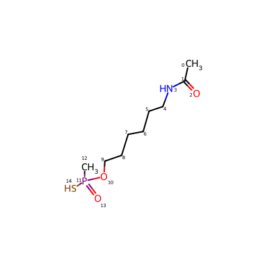 CC(=O)NCCCCCCOP(C)(=O)S